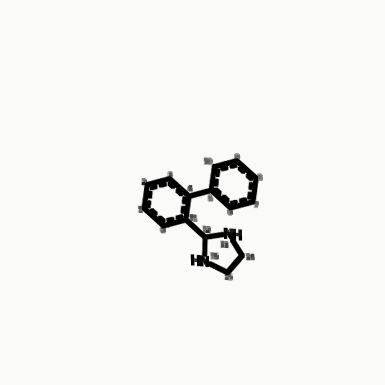 [c]1cccc(-c2ccccc2)c1C1NCCN1